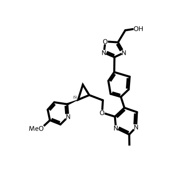 COc1ccc([C@H]2CC2COc2nc(C)ncc2-c2ccc(-c3noc(CO)n3)cc2)nc1